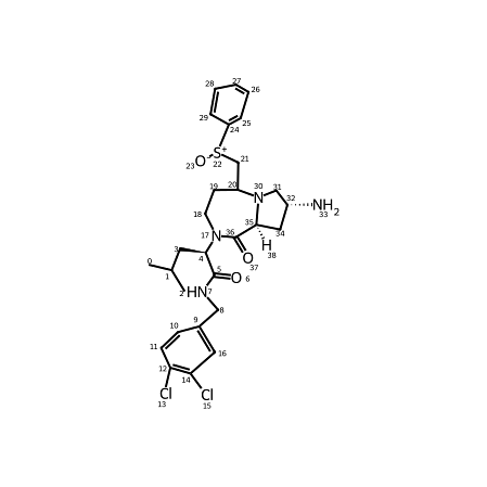 CC(C)C[C@H](C(=O)NCc1ccc(Cl)c(Cl)c1)N1CCC(C[S+]([O-])c2ccccc2)N2C[C@H](N)C[C@H]2C1=O